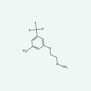 COCCOc1cc(C)cc(C(F)(F)F)c1